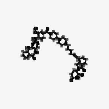 CCOc1cc(C(=O)N2CCC(N3CCN(CCCCC#Cc4cccc5c4CN(C4CCC(=O)NC4=O)C5=O)CC3)CC2)ccc1Nc1ncc2c(n1)Nc1ccccc1C(=O)N2